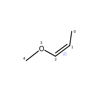 C/C=C\OC